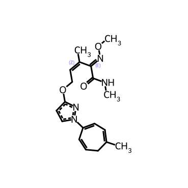 CNC(=O)C(=N/OC)/C(C)=C\COc1ccn(C2=CC=C(C)CC=C2)n1